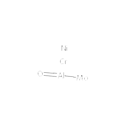 [Cr].[Ni].[O]=[Al][Mo]